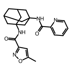 Cc1cc(C(=O)NC23CC4CC(CC(NC(=O)c5ccccn5)(C4)C2)C3)no1